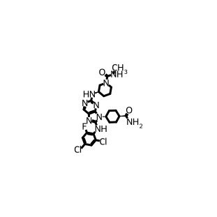 CNC(=O)N1CCC[C@@H](Nc2ncc3nc(Nc4c(F)cc(Cl)cc4Cl)n([C@H]4CC[C@H](C(N)=O)CC4)c3n2)C1